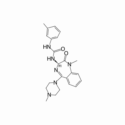 Cc1cccc(NC(=O)N[C@@H]2N=C(N3CCN(C)CC3)c3ccccc3N(C)C2=O)c1